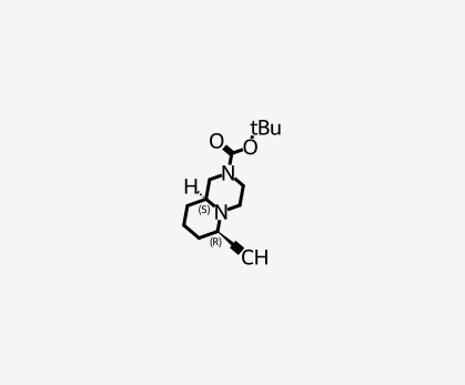 C#C[C@H]1CCC[C@H]2CN(C(=O)OC(C)(C)C)CCN21